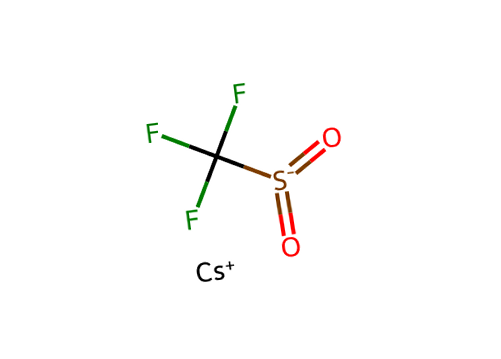 O=[S-](=O)C(F)(F)F.[Cs+]